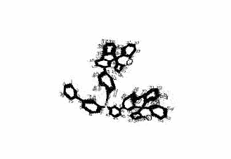 c1ccc(-c2cccc(N(c3ccc(-c4ccc5c(c4)C4(c6ccccc6Oc6ccccc64)c4ccccc4-5)cc3)c3cccc(-c4ccc5c(c4)C4(c6ccccc6Oc6ccccc64)c4ccccc4-5)c3)c2)cc1